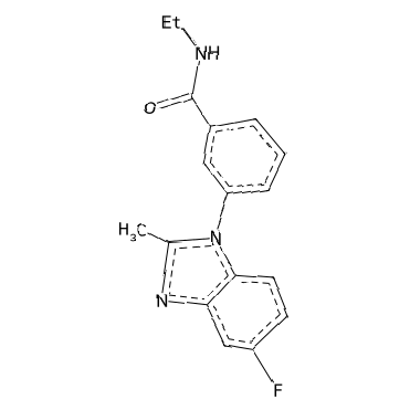 CCNC(=O)c1cccc(-n2c(C)nc3cc(F)ccc32)c1